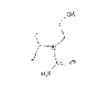 NC(=O)N(CCO)C(F)F